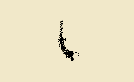 CCCCCCCCCCCCCCCCNC(=O)C1CC(CC(=O)N2CCN(c3ccc(Cn4cc5nc(N)nc(NCCCC)c5n4)c(OC)c3)CC2)C1